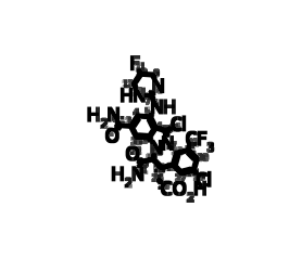 NC(=O)c1cc(NC2=NCC(F)CN2)c2c(Cl)nn(C(C(N)=O)[C@@H](CC(=O)O)c3cc(Cl)cc(C(F)(F)F)c3)c2c1